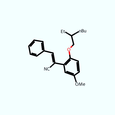 CCCCC(CC)COc1ccc(OC)cc1C(C#N)=Cc1ccccc1